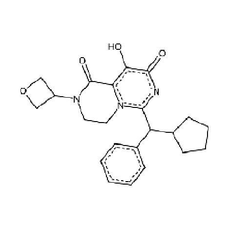 O=C1c2c(O)c(=O)nc(C(c3ccccc3)C3CCCC3)n2CCN1C1COC1